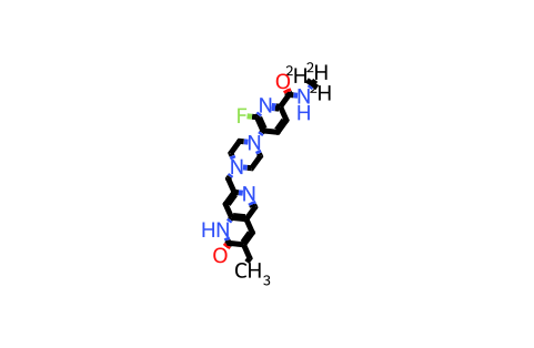 [2H]C([2H])([2H])NC(=O)c1ccc(N2CCN(Cc3cc4[nH]c(=O)c(CC)cc4cn3)CC2)c(F)n1